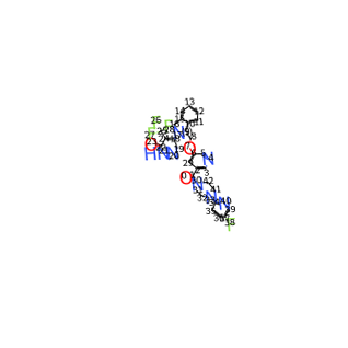 O=C(c1cncc(OC[C@@H]2c3ccccc3CN2c2cn[nH]c(=O)c2C(F)(F)F)c1)N1CCN(c2ccc(F)cn2)CC1